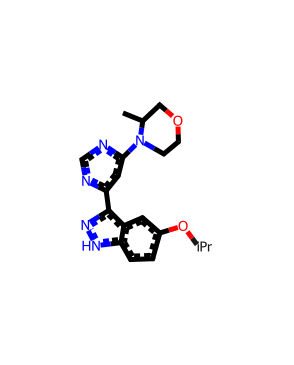 CC(C)Oc1ccc2[nH]nc(-c3cc(N4CCOCC4C)ncn3)c2c1